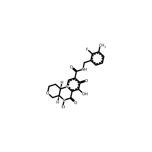 CCN1C(=O)c2c(O)c(=O)c(C(=O)NCc3cccc(C)c3F)cn2[C@H]2CCOC[C@H]21